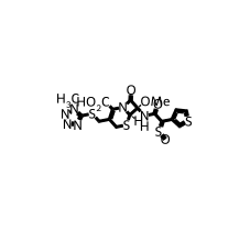 CO[C@@]1(NC(=O)C(=S=O)c2ccsc2)C(=O)N2C(C(=O)O)=C(CSc3nnnn3C)CS[C@@H]21